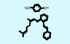 CC(C)=CCCC(C)=CCc1ccccc1C=Cc1ccccc1.Oc1ccc(O)cc1